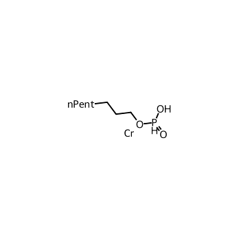 CCCCCCCCO[PH](=O)O.[Cr]